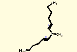 CCCC/C=C/N(C)/C=C/CCCC